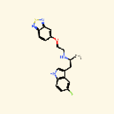 CC(Cc1c[nH]c2ccc(F)cc12)NCCOc1ccc2nsnc2c1